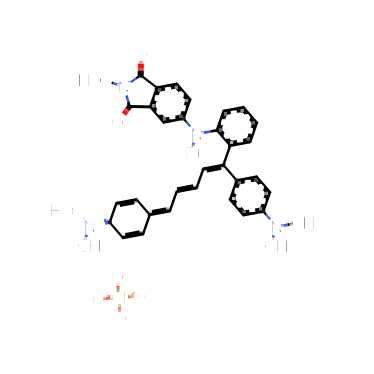 CCN(c1ccc2c(c1)C(=O)N(C)C2=O)c1ccccc1C(=CC=CC=C1C=CC(=[N+](C)C)C=C1)c1ccc(N(C)C)cc1.[O-][Cl+3]([O-])([O-])[O-]